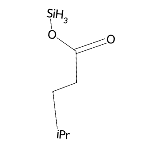 CC(C)CCC(=O)O[SiH3]